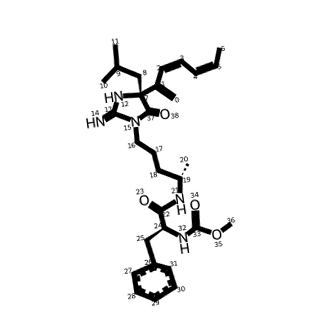 C=C(/C=C\C=C/C)[C@@]1(CC(C)C)NC(=N)N(CCC[C@H](C)NC(=O)[C@H](Cc2ccccc2)NC(=O)OC)C1=O